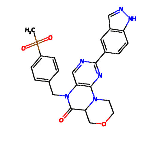 CS(=O)(=O)c1ccc(CN2C(=O)C3COCCN3c3nc(-c4ccc5[nH]ncc5c4)ncc32)cc1